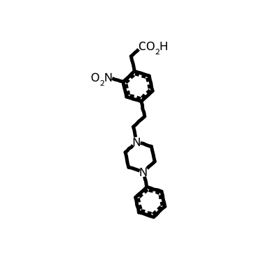 O=C(O)Cc1ccc(CCN2CCN(c3ccccc3)CC2)cc1[N+](=O)[O-]